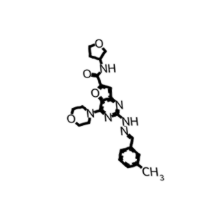 Cc1cccc(/C=N/Nc2nc(N3CCOCC3)c3oc(C(=O)NC4CCOC4)cc3n2)c1